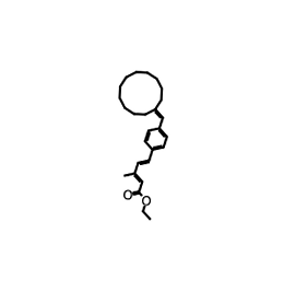 CCOC(=O)C=C(C)C=Cc1ccc(C=C2CCCCCCCCCCC2)cc1